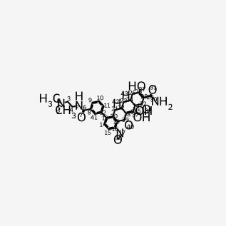 CN(C)CCNC(=O)c1cccc(-c2ccc(N=O)c3c2C[C@H]2C[C@H]4CC(O)=C(C(N)=O)C(=O)[C@@]4(O)C(O)=C2C3=O)c1